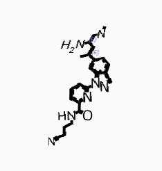 C=N/C=C(N)\C=C(/C)c1ccc2cnn(-c3cccc(C(=O)NCCCC#N)n3)c2c1